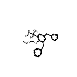 CCCC(C)(PCl)c1cc(Cc2ccccc2)cc(Cc2ccccc2)c1OCOC